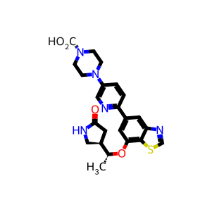 C[C@@H](Oc1cc(-c2ccc(N3CCN(C(=O)O)CC3)cn2)cc2ncsc12)[C@H]1CNC(=O)C1